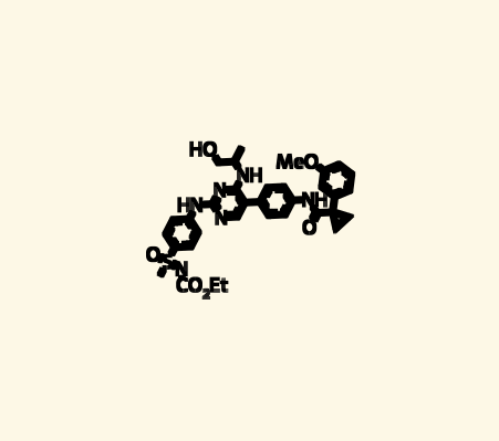 CCOC(=O)N=S(C)(=O)c1ccc(Nc2ncc(-c3ccc(NC(=O)C4(c5cccc(OC)c5)CC4)cc3)c(NC(C)CO)n2)cc1